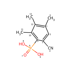 Cc1cc(C#N)c(P(=O)(O)O)c(C)c1C